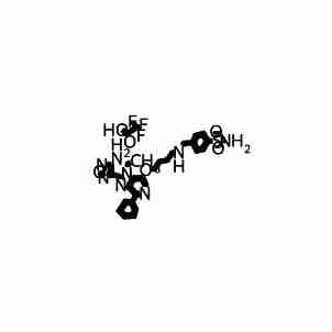 CCn1c(-c2nonc2N)nc2c(-c3ccccc3)ncc(OCCCCNCc3ccc(S(N)(=O)=O)cc3)c21.O=C(O)C(F)(F)F